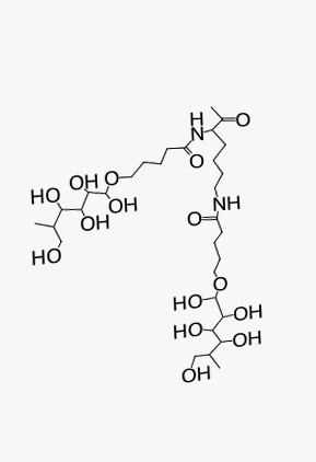 CC(=O)C(CCCCNC(=O)CCCCOC(O)C(O)C(O)C(O)C(C)CO)NC(=O)CCCCOC(O)C(O)C(O)C(O)C(C)CO